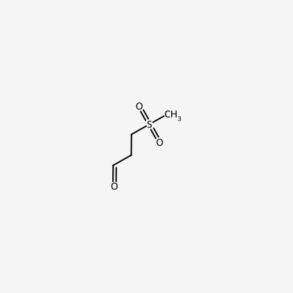 CS(=O)(=O)CCC=O